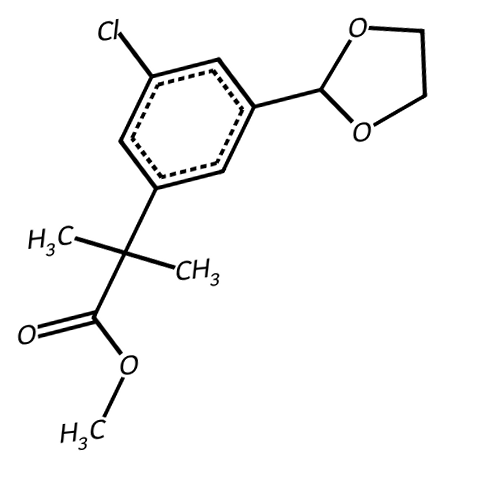 COC(=O)C(C)(C)c1cc(Cl)cc(C2OCCO2)c1